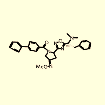 CON=C1CC(c2noc([C@@H](Cc3ccccc3)N(C)C)n2)N(C(=O)c2ccc(-c3ccccc3)cc2)C1